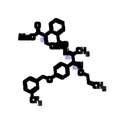 C=CCO/N=C(/C(C)=N/OCc1ccccc1/C(=C\OC)C(=O)OC)c1ccc(OCc2cccc(C(F)(F)F)c2)cc1